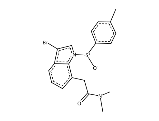 Cc1ccc([S+]([O-])n2cc(Br)c3cccc(CC(=O)N(C)C)c32)cc1